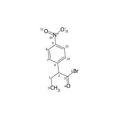 CCC(C(=O)Br)c1ccc([N+](=O)[O-])cc1